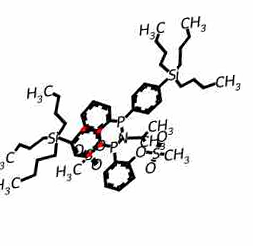 CCCC[Si](CCCC)(CCCC)c1ccc(P(c2ccccc2OS(C)(=O)=O)N(C(C)C)P(c2ccc([Si](CCCC)(CCCC)CCCC)cc2)c2ccccc2OS(C)(=O)=O)cc1